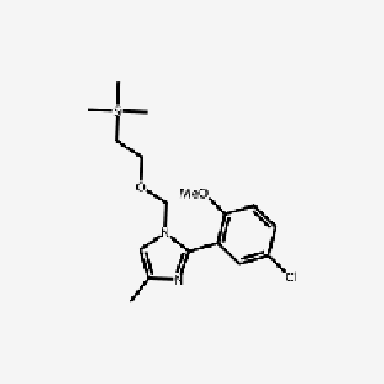 COc1ccc(Cl)cc1-c1nc(C)cn1COCC[Si](C)(C)C